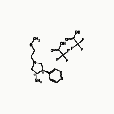 COCCN1C[C@@H](N)[C@H](c2ccncc2)C1.O=C(O)C(F)(F)F.O=C(O)C(F)(F)F